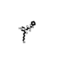 O=C(CN1CCNCC1C(=O)CCCCCBr)Nc1nc2ccccc2s1